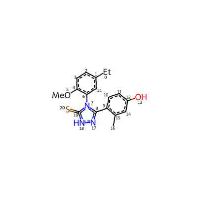 CCc1ccc(OC)c(-n2c(-c3ccc(O)cc3C)n[nH]c2=S)c1